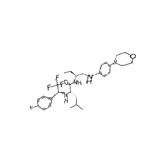 CC[C@@H](CNc1ccc(N2CCOCC2)cc1)NC(=O)[C@H](CC(C)C)N[C@@H](c1ccc(F)cc1)C(F)(F)F